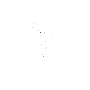 CCCS(=O)(=O)NCc1ccc(-c2cn(-c3ccccc3)nc2-c2ccncc2)cc1